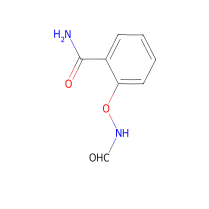 NC(=O)c1ccccc1ONC=O